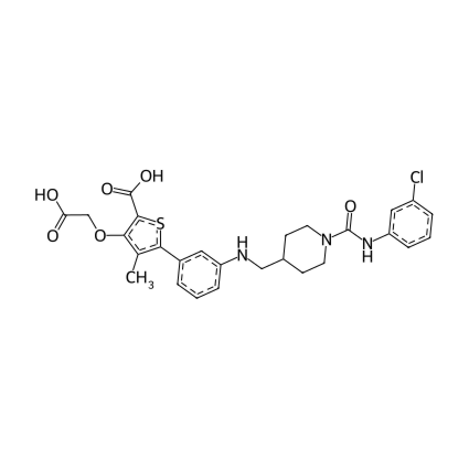 Cc1c(-c2cccc(NCC3CCN(C(=O)Nc4cccc(Cl)c4)CC3)c2)sc(C(=O)O)c1OCC(=O)O